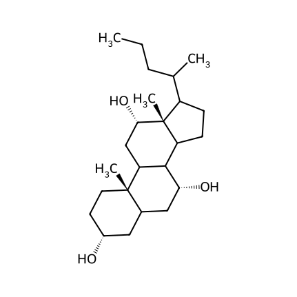 CCCC(C)C1CCC2C3C(C[C@H](O)[C@]12C)[C@@]1(C)CC[C@@H](O)CC1C[C@H]3O